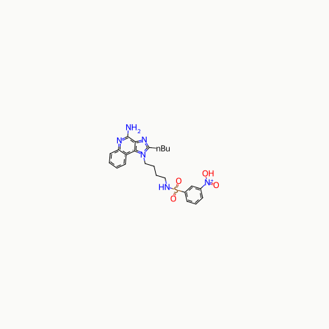 CCCCc1nc2c(N)nc3ccccc3c2n1CCCCNS(=O)(=O)c1cccc([N+](=O)O)c1